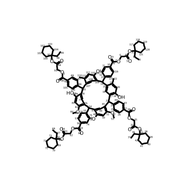 CCC1(OC(=O)COC(=O)c2ccc(C3c4cc(c(O)cc4C)C(c4ccc(C(=O)OCC(=O)OC5(CC)CCCCC5)cc4)c4cc(c(O)cc4OC)C(c4ccc(C(=O)OCC(=O)OC5(CC)CCCCC5)cc4)c4cc(c(O)cc4OC)C(c4ccc(C(=O)OCC(=O)OC5(CC)CCCCC5)cc4)c4cc3c(O)cc4C)cc2)CCCCC1